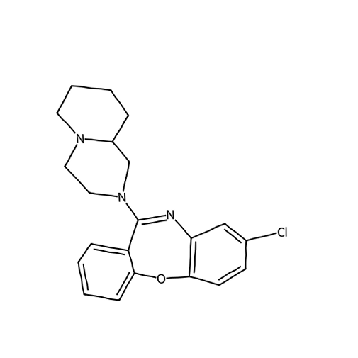 Clc1ccc2c(c1)N=C(N1CCN3CCCCC3C1)c1ccccc1O2